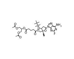 C#CC1(COC(=O)CCCC(=O)OC(COC(C)=O)COC(C)=O)O[C@@H](n2cnc3c(N)nc(F)nc32)CC1O[Si](C)(C)C(C)(C)C